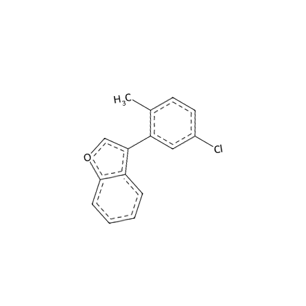 Cc1ccc(Cl)cc1-c1coc2ccccc12